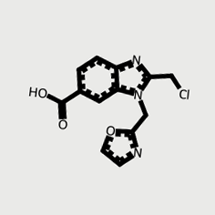 O=C(O)c1ccc2nc(CCl)n(Cc3ncco3)c2c1